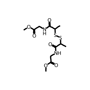 COC(=O)CNC(=O)C(C)SSC(C)C(=O)NCC(=O)OC